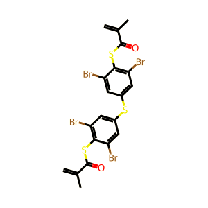 C=C(C)C(=O)Sc1c(Br)cc(Sc2cc(Br)c(SC(=O)C(=C)C)c(Br)c2)cc1Br